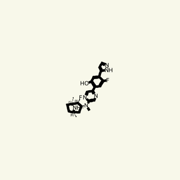 CN(c1cnc(-c2cc(F)c(-c3ccn[nH]3)cc2O)cn1)[C@@H]1C[C@@]2(C)CC[C@](C)(N2)[C@@H]1F